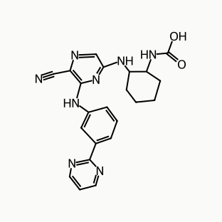 N#Cc1ncc(NC2CCCCC2NC(=O)O)nc1Nc1cccc(-c2ncccn2)c1